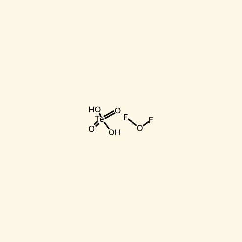 FOF.O=[Te](=O)(O)O